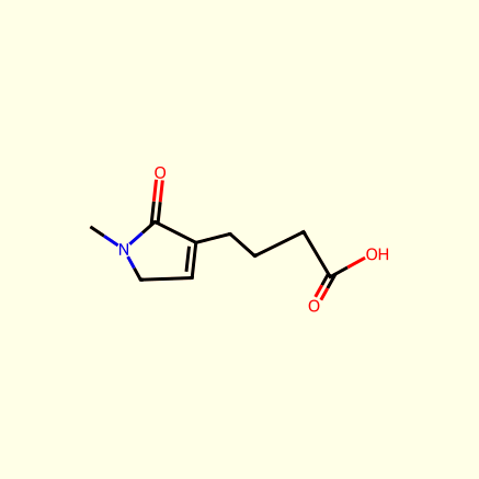 CN1CC=C(CCCC(=O)O)C1=O